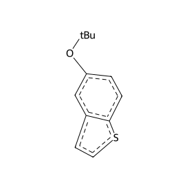 CC(C)(C)Oc1ccc2sccc2c1